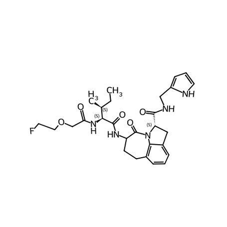 CC[C@H](C)[C@H](NC(=O)COCCF)C(=O)NC1CCc2cccc3c2N(C1=O)[C@H](C(=O)NCc1ccc[nH]1)C3